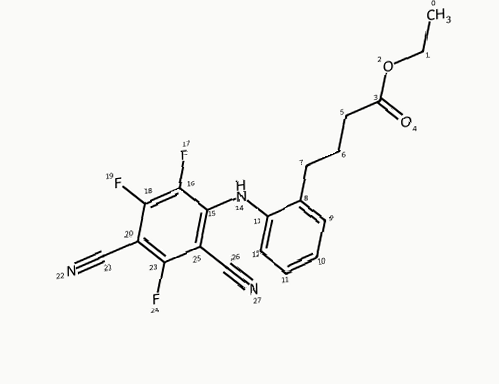 CCOC(=O)CCCc1ccccc1Nc1c(F)c(F)c(C#N)c(F)c1C#N